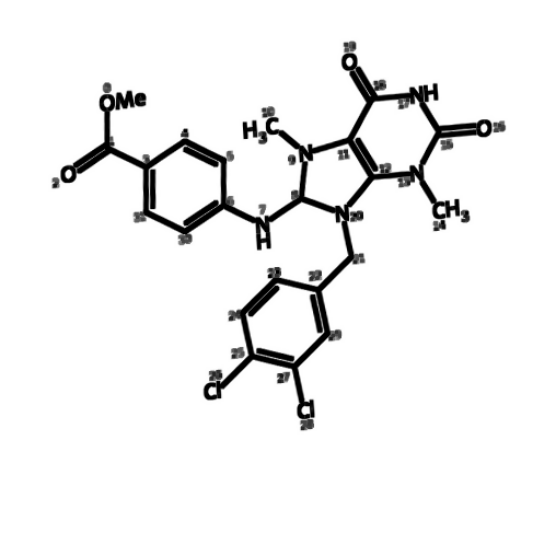 COC(=O)c1ccc(NC2N(C)c3c(n(C)c(=O)[nH]c3=O)N2Cc2ccc(Cl)c(Cl)c2)cc1